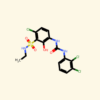 CCNS(=O)(=O)c1c(Cl)ccc(NC(=O)Nc2cccc(Cl)c2Cl)c1O